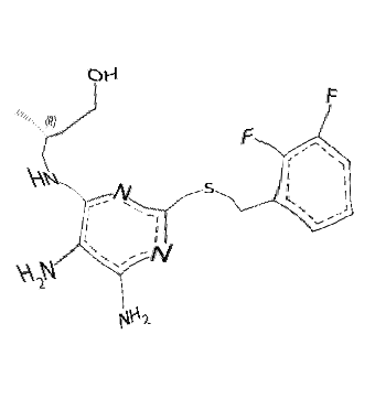 C[C@H](CO)Nc1nc(SCc2cccc(F)c2F)nc(N)c1N